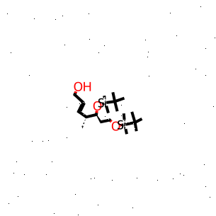 C[C@H](/C=C/CO)[C@H](CCO[Si](C)(C)C(C)(C)C)O[Si](C)(C)C(C)(C)C